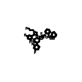 CC(C)(C)[Si](OCC(F)(F)C[C@]1(C)Cc2c([nH]c3cc(F)ccc23)[C@H](c2c(F)cc(F)cc2C2C(C=O)CN2CCCF)N1)(c1ccccc1)c1ccccc1